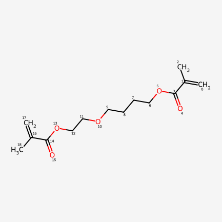 C=C(C)C(=O)OCCCCOCCOC(=O)C(=C)C